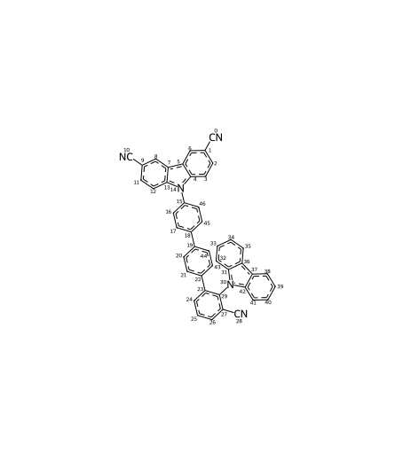 N#Cc1ccc2c(c1)c1cc(C#N)ccc1n2-c1ccc(-c2ccc(-c3cccc(C#N)c3-n3c4ccccc4c4ccccc43)cc2)cc1